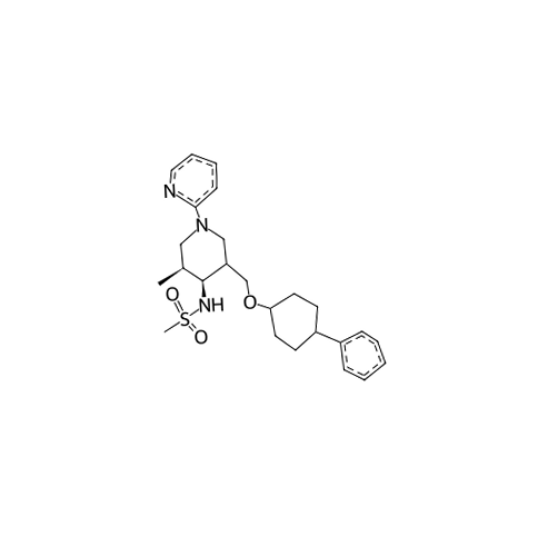 C[C@H]1CN(c2ccccn2)CC(COC2CCC(c3ccccc3)CC2)[C@H]1NS(C)(=O)=O